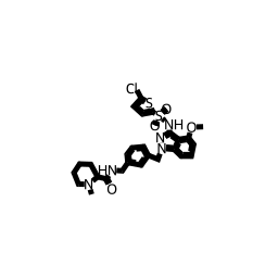 COc1cccc2c1c(NS(=O)(=O)c1ccc(Cl)s1)nn2Cc1cccc(CNC(=O)C2CCCCN2C)c1